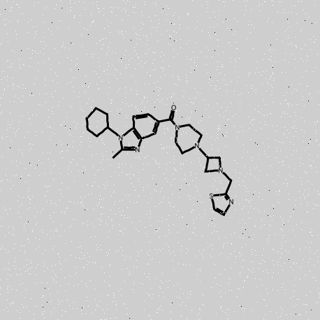 Cc1nc2cc(C(=O)N3CCN(C4CN(Cc5nccs5)C4)CC3)ccc2n1C1CCCCC1